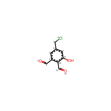 O=Cc1cc(CCl)cc(O)c1C=O